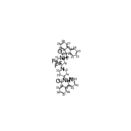 O=C(NC1CCN(CCCCC2(C(=O)NCC(F)(F)F)c3ccccc3-c3ccccc32)CC1)c1ccccc1-c1cccnc1